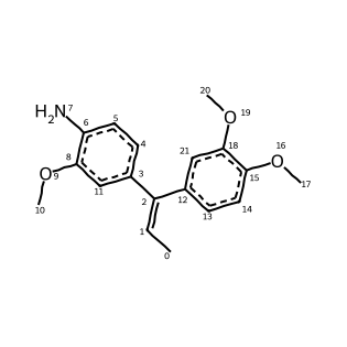 CC=C(c1ccc(N)c(OC)c1)c1ccc(OC)c(OC)c1